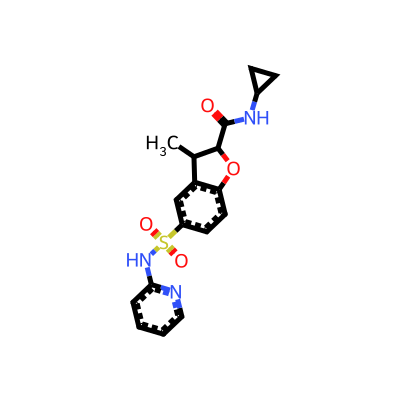 CC1c2cc(S(=O)(=O)Nc3ccccn3)ccc2OC1C(=O)NC1CC1